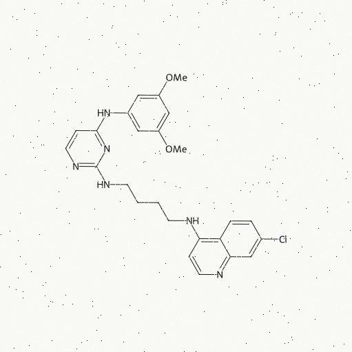 COc1cc(Nc2ccnc(NCCCCNc3ccnc4cc(Cl)ccc34)n2)cc(OC)c1